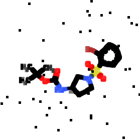 CC(C)(C)OC(=O)N[C@@H]1CCN(S(=O)(=O)c2ccccc2Br)C1